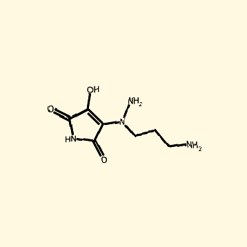 NCCCN(N)C1=C(O)C(=O)NC1=O